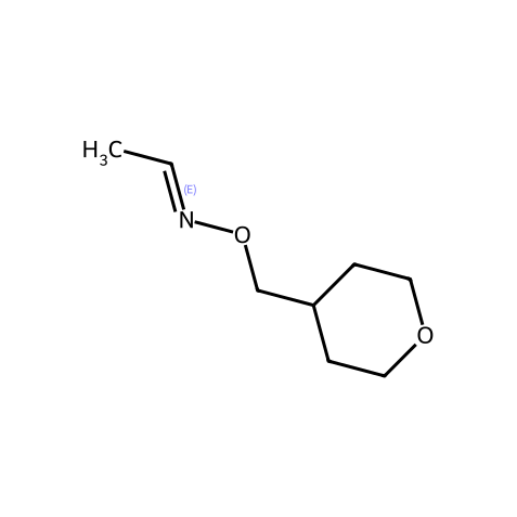 C/C=N/OCC1CCOCC1